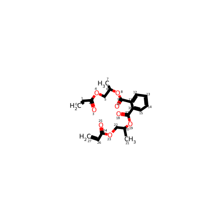 C=CC(=O)OCC(C)OC(=O)c1ccccc1C(=O)OC(C)COC(=O)C=C